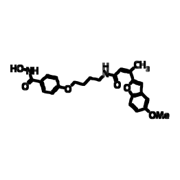 COc1ccc2oc(/C(C)=C\C(=O)NCCCCOc3ccc(C(=O)NO)cc3)cc2c1